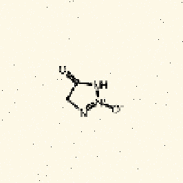 O=C1CN=[N+]([O-])N1